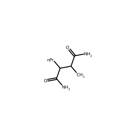 CCCC(C(N)=O)C(C)C(N)=O